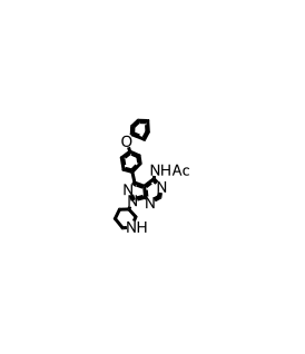 CC(=O)Nc1ncnc2c1c(-c1ccc(Oc3ccccc3)cc1)nn2C1CCCNC1